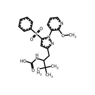 COc1ncccc1-n1nc(CC(NC(=O)O)C(C)(C)C)cc1S(=O)(=O)c1ccccc1